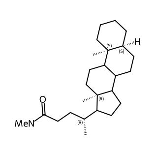 CNC(=O)CC[C@@H](C)C1CCC2C3CC[C@@H]4CCCC[C@]4(C)C3CC[C@@]21C